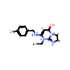 CC(C)CN1C(NCc2ccc(Cl)cc2)=CC(=O)N2CCN=C21